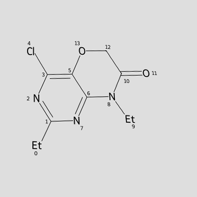 CCc1nc(Cl)c2c(n1)N(CC)C(=O)CO2